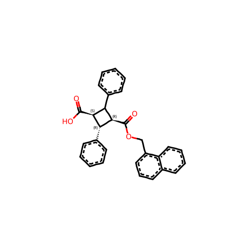 O=C(OCc1cccc2ccccc12)[C@@H]1C(c2ccccc2)[C@H](C(=O)O)[C@H]1c1ccccc1